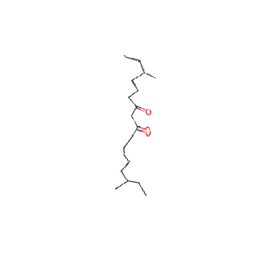 CCC(C)CCCC(=O)CC(=O)CCCC(C)CC